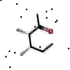 CC[C@H](C)[C@H](C)C(C)=O